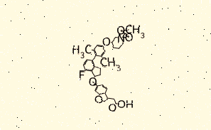 Cc1cc(O[C@H]2CCCN(S(C)(=O)=O)C2)cc(C)c1-c1ccc(F)c2c1CC[C@H]2Oc1ccc2c(c1)OCC2CC(=O)O